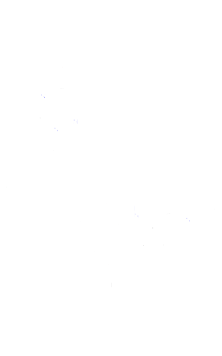 CNC(=O)C1(NS(=O)(=O)c2cc(Oc3c(Cl)cc(-n4nc(C(F)F)c(=O)[nH]c4=O)cc3Cl)ccc2OC)CC1